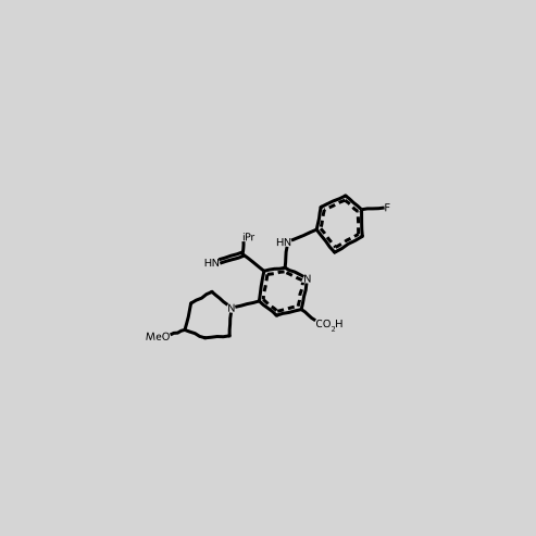 COC1CCN(c2cc(C(=O)O)nc(Nc3ccc(F)cc3)c2C(=N)C(C)C)CC1